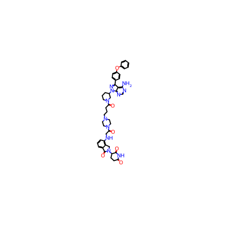 Nc1ncnc2c1c(-c1ccc(Oc3ccccc3)cc1)nn2C1CCCN(C(=O)CCCN2CCN(C(=O)CNc3cccc4c3CN(C3CCC(=O)NC3=O)C4=O)CC2)C1